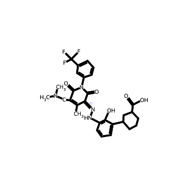 CC1=C(CN(C)C)C(=O)N(c2cccc(C(F)(F)F)c2)C(=O)/C1=N/Nc1cccc(C2CCCC(C(=O)O)C2)c1O